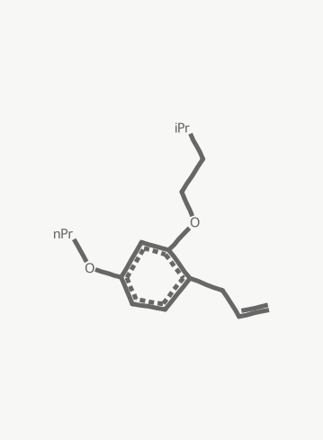 C=CCc1ccc(OCCC)cc1OCCC(C)C